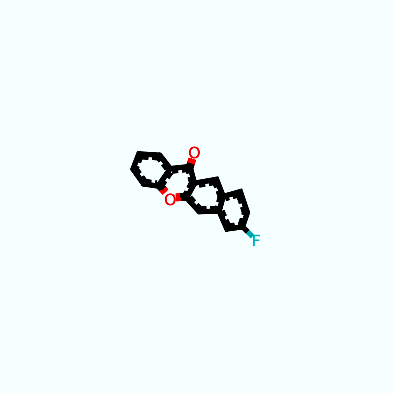 O=c1c2ccccc2oc2cc3cc(F)ccc3cc12